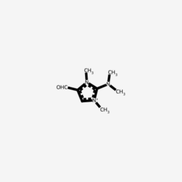 CN(C)c1n(C)c(C=O)c[n+]1C